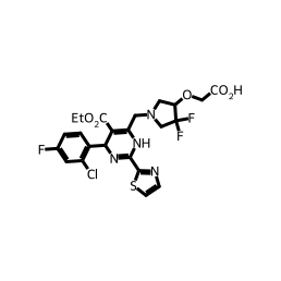 CCOC(=O)C1=C(CN2CC(OCC(=O)O)C(F)(F)C2)NC(c2nccs2)=NC1c1ccc(F)cc1Cl